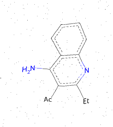 CCc1nc2ccccc2c(N)c1C(C)=O